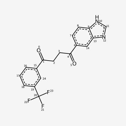 O=C(CCC(=O)c1ccc2[nH]cnc2c1)c1cccc(C(F)(F)F)c1